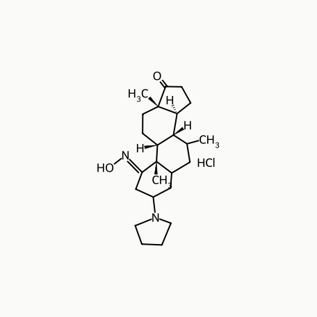 CC1CC2CC(N3CCCC3)CC(=NO)[C@]2(C)[C@@H]2CC[C@]3(C)C(=O)CC[C@H]3[C@H]12.Cl